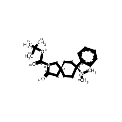 CN(C)[C@]1(c2ccccc2)CC[C@@]2(CC1)CC(=O)N(C(=O)OC(C)(C)C)C2